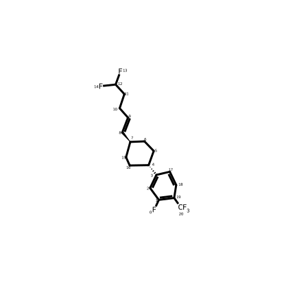 Fc1cc([C@H]2CC[C@H](C=CCCC(F)F)CC2)ccc1C(F)(F)F